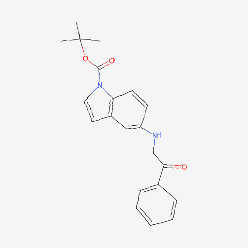 CC(C)(C)OC(=O)n1ccc2cc(NCC(=O)c3ccccc3)ccc21